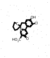 O=C(O)c1cn2c(cc1=O)-c1cc(Cl)c(O)cc1CC21CCCCC1